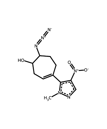 Cn1ncc([N+](=O)[O-])c1C1=CCC(O)C(N=[N+]=[N-])CC1